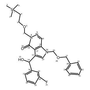 C[Si](C)(C)CCOCn1ncc2c(c(C(O)c3cccc(F)c3)cn2COCc2ccccc2)c1=O